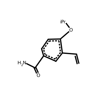 C=Cc1cc(C(N)=O)ccc1OC(C)C